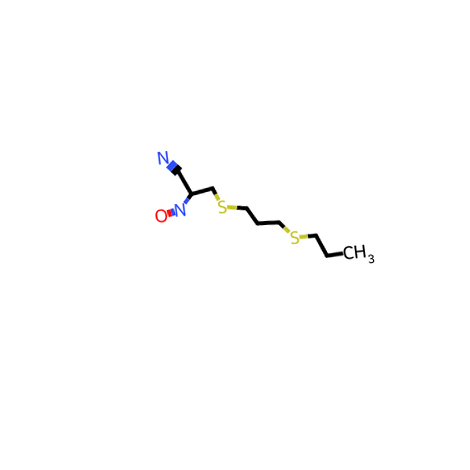 CCCSCCCSCC(C#N)N=O